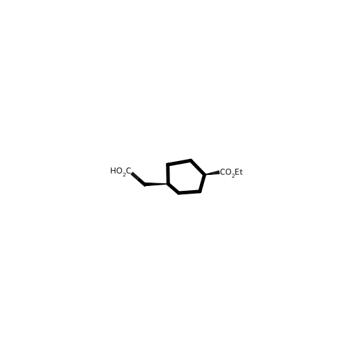 CCOC(=O)[C@H]1CC[C@@H](CC(=O)O)CC1